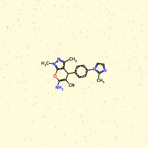 Cc1nn(C)c2c1C(c1ccc(-n3ccnc3C)cc1)C(C#N)=C(N)O2